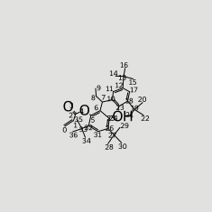 C=CC(=O)Oc1c(C(CC)c2cc(C(C)(C)C)cc(C(C)(C)C)c2O)cc(C(C)(C)C)cc1C(C)(C)C